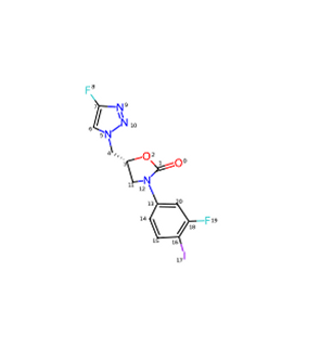 O=C1O[C@@H](Cn2cc(F)nn2)CN1c1ccc(I)c(F)c1